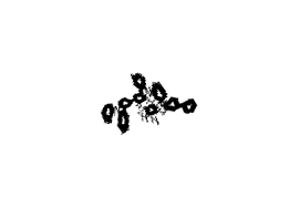 [2H]c1c([2H])c([2H])c(N(c2ccc(-c3ccccc3)cc2)c2cccc(-n3c4ccccc4c4cc(-c5ccc6c(c5)c5ccccc5n6-c5ccccc5)ccc43)c2)c([2H])c1[2H]